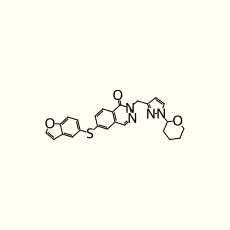 O=c1c2ccc(Sc3ccc4occc4c3)cc2cnn1Cc1ccn(C2CCCCO2)n1